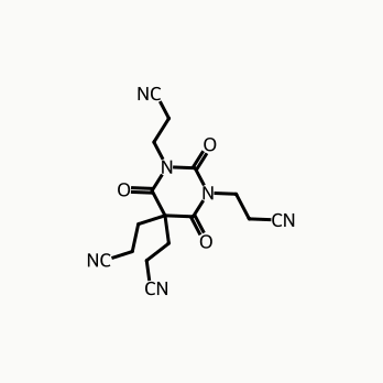 N#CCCN1C(=O)N(CCC#N)C(=O)C(CCC#N)(CCC#N)C1=O